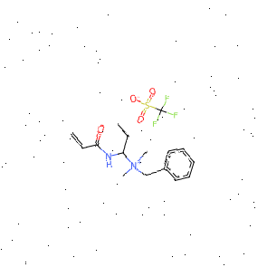 C=CC(=O)NC(CC)[N+](C)(C)Cc1ccccc1.O=S(=O)([O-])C(F)(F)F